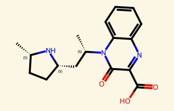 C[C@H]1CC[C@@H](C[C@H](C)n2c(=O)c(C(=O)O)nc3ccccc32)N1